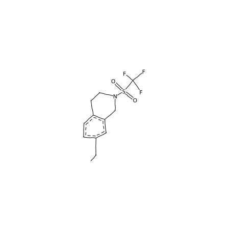 CCc1ccc2c(c1)CN(S(=O)(=O)C(F)(F)F)CC2